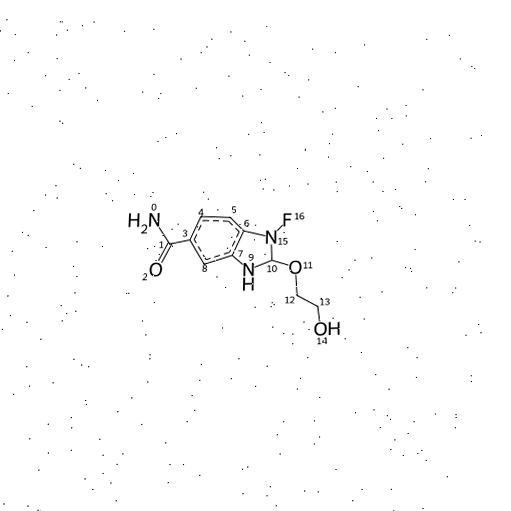 NC(=O)c1ccc2c(c1)NC(OCCO)N2F